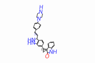 O=C1Nc2ccccc2[C@]12C[C@H]2c1ccc2c(c1)NNC2/C=C/c1ccc(N2CCNCC2)cc1